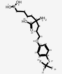 NC(CCCCB(O)O)(CCCOc1ccc(SC(F)(F)F)cc1)C(=O)O